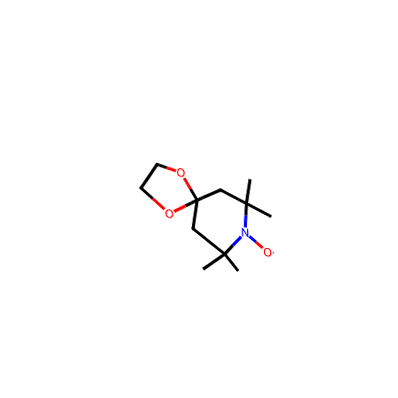 CC1(C)CC2(CC(C)(C)N1[O])OCCO2